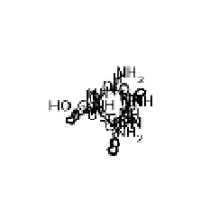 NCCCC[C@@H]1NC(=O)[C@@H](Cc2c[nH]c3ccccc23)NC(=O)[C@H](Cc2cccnc2)NC(=O)[C@H](NC(=O)[C@@H](N)Cc2ccc3ccccc3c2)CSSC[C@@H](C(=O)N[C@@H](Cc2ccc3ccccc3c2)C(=O)O)NC(=O)CNC1=O